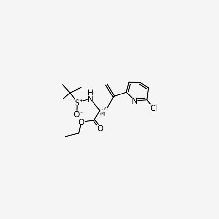 C=C(C[C@@H](N[S+]([O-])C(C)(C)C)C(=O)OCC)c1cccc(Cl)n1